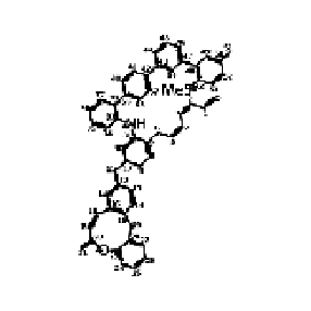 C=C/C=C\C=C/CC1=CCC(Cc2ccc3c(c2)/C=C\C(=C)Oc2ccccc2C3)C=C1NC1C=CC=CC1c1ccc(-c2cccc(-c3cc(C)ccc3SC)c2)cc1